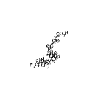 Cn1nc(C(F)(F)C(F)(F)F)c(C(F)(F)F)c1-n1cc(-c2ccc(Cl)c(C(=O)N(COC(=O)OCCOC(=O)CCC(=O)O)C3(C#N)CC3)c2)cn1